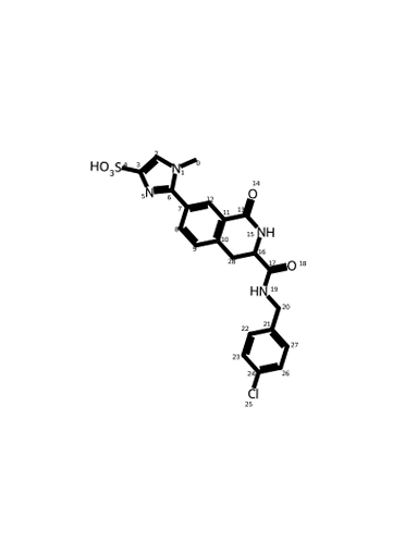 Cn1cc(S(=O)(=O)O)nc1-c1ccc2c(c1)C(=O)NC(C(=O)NCc1ccc(Cl)cc1)C2